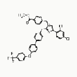 COC(=O)c1ccc(Cn2cc(-c3ccc(Cl)cc3Cl)nc2Cc2ccc(-c3ccc(Oc4ccc(C(F)(F)F)cc4)cc3)cc2)cc1